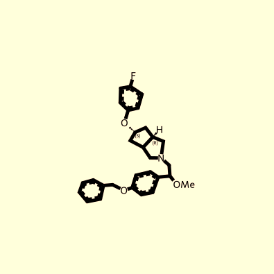 COC(CN1CC2C[C@H](Oc3ccc(F)cc3)C[C@H]2C1)c1ccc(OCc2ccccc2)cc1